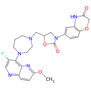 COc1ccc2ncc(F)c(N3CCCN(CC4CN(c5ccc6c(c5)NC(=O)CO6)C(=O)O4)CC3)c2n1